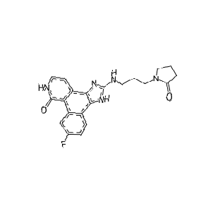 O=C1CCCN1CCCNc1nc2c3cc[nH]c(=O)c3c3cc(F)ccc3c2[nH]1